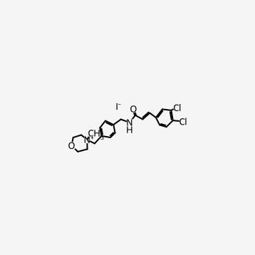 C[N+]1(Cc2ccc(CNC(=O)C=Cc3ccc(Cl)c(Cl)c3)cc2)CCOCC1.[I-]